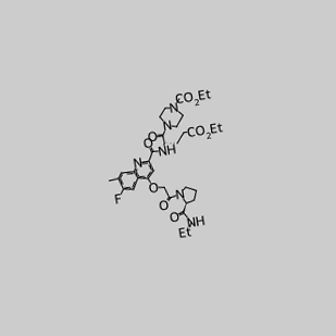 CCNC(=O)[C@@H]1CCCN1C(=O)COc1cc(C(=O)N[C@@H](CCC(=O)OCC)C(=O)N2CCN(C(=O)OCC)CC2)nc2cc(C)c(F)cc12